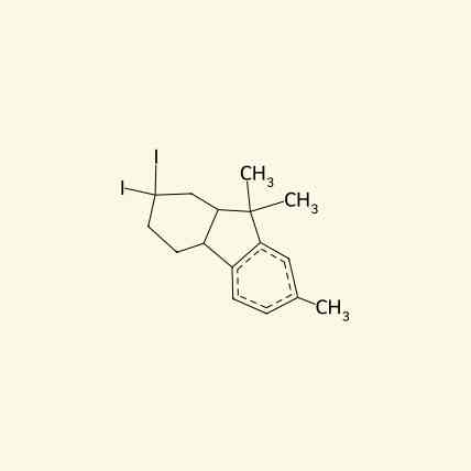 Cc1ccc2c(c1)C(C)(C)C1CC(I)(I)CCC21